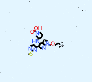 CSc1nccc(-c2cnc3c(ccn3COCC[Si](C)(C)C)c2N[C@@H]2CCCN(C(=O)O)C2)n1